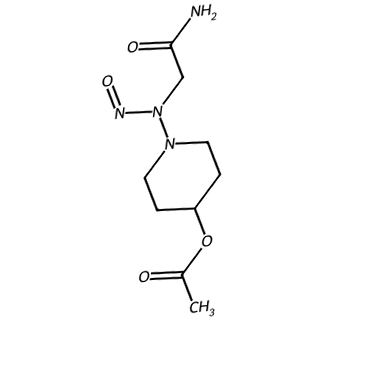 CC(=O)OC1CCN(N(CC(N)=O)N=O)CC1